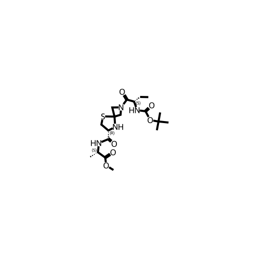 CC[C@H](NC(=O)OC(C)(C)C)C(=O)N1CC2(C1)N[C@H](C(=O)N[C@@H](C)C(=O)OC)CS2